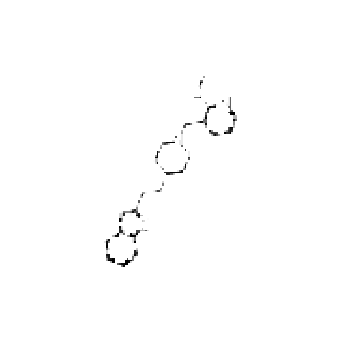 COc1ncccc1CN1CCC(CCc2cc3ccccc3s2)CC1